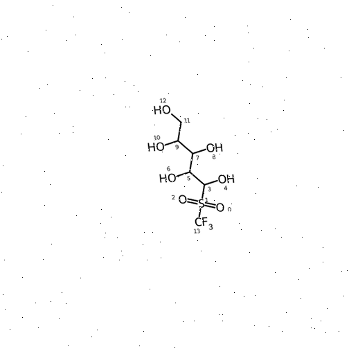 O=S(=O)(C(O)C(O)C(O)C(O)CO)C(F)(F)F